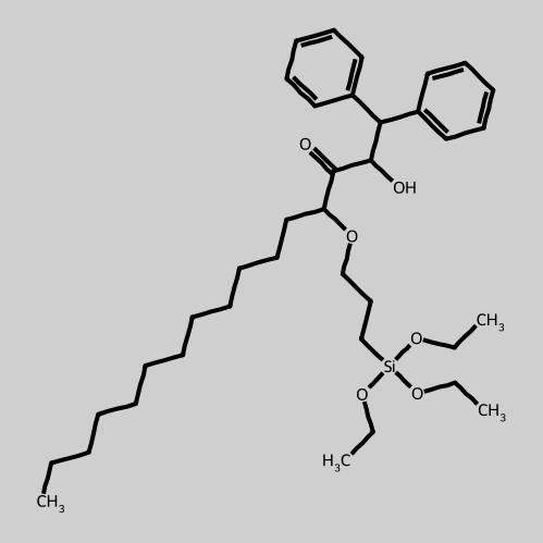 CCCCCCCCCCCCC(OCCC[Si](OCC)(OCC)OCC)C(=O)C(O)C(c1ccccc1)c1ccccc1